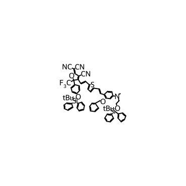 CN(CCO[Si](c1ccccc1)(c1ccccc1)C(C)(C)C)c1ccc(/C=C/c2ccc(/C=C/C3=C(C#N)C(=C(C#N)C#N)OC3(c3ccc(O[Si](c4ccccc4)(c4ccccc4)C(C)(C)C)cc3)C(F)(F)F)s2)c(OCc2ccccc2)c1